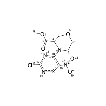 COC(=O)C1COCCN1c1nc(Cl)ncc1[N+](=O)[O-]